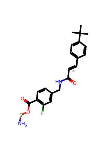 CC(C)(C)c1ccc(/C=C/C(=O)NCc2ccc(C(=O)OSN)c(F)c2)cc1